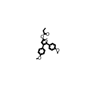 CCC(=O)Oc1cc(-c2ccc(OC)cc2)c(-c2ccc(OC)cc2)s1